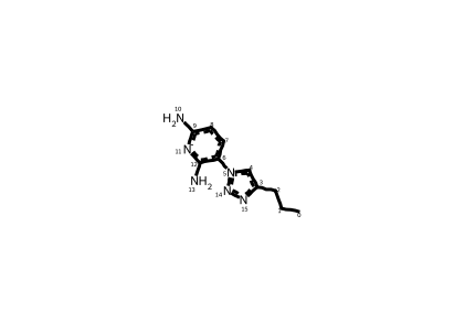 CCCc1cn(-c2ccc(N)nc2N)nn1